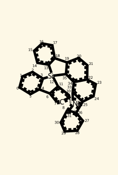 c1ccc2c(c1)-c1ccccc1[Si]21c2ccccc2-c2ccc3ccc4c5ccccc5[nH]c4c3c21